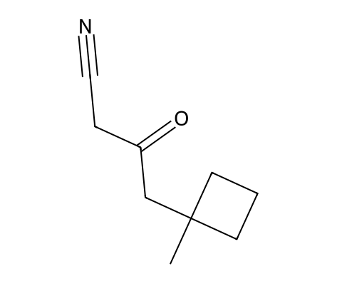 CC1(CC(=O)CC#N)CCC1